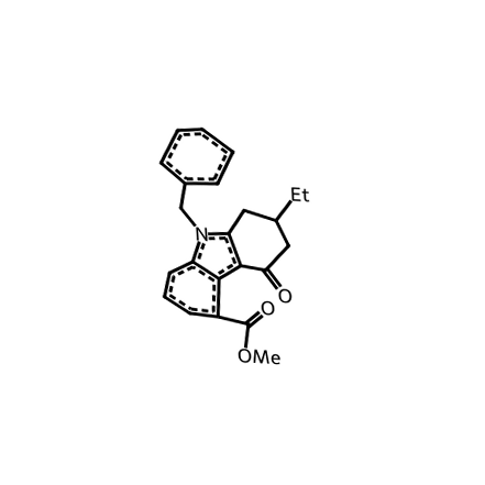 CCC1CC(=O)c2c(n(Cc3ccccc3)c3cccc(C(=O)OC)c23)C1